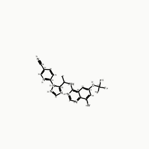 CC(Nc1ncnc2c(Br)cc(OC(F)(F)F)cc12)c1ncnn1-c1ccc(C#N)cn1